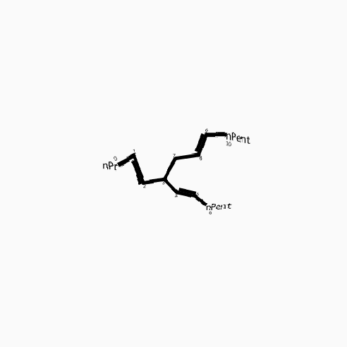 CCCC=CC(C=CCCCCC)CC=CCCCCC